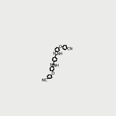 N#Cc1ccc(Oc2ccc3nc(-c4ccc(-c5nc6ccc(Oc7ccc(C#N)cc7)cc6[nH]5)cc4)[nH]c3c2)cc1